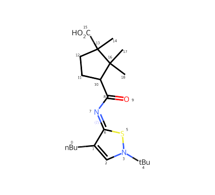 CCCCc1cn(C(C)(C)C)s/c1=N\C(=O)C1CCC(C)(C(=O)O)C1(C)C